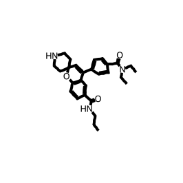 CCCNC(=O)c1ccc2c(c1)C(c1ccc(C(=O)N(CC)CC)cc1)=CC1(CCNCC1)O2